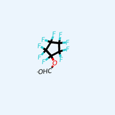 O=[C]OC1(F)C(F)(F)C(F)(F)C(F)(F)C1(F)F